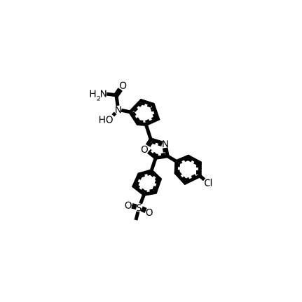 CS(=O)(=O)c1ccc(-c2oc(-c3cccc(N(O)C(N)=O)c3)nc2-c2ccc(Cl)cc2)cc1